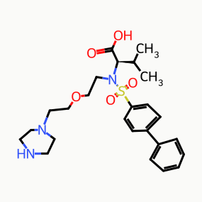 CC(C)[C@H](C(=O)O)N(CCOCCN1CCNCC1)S(=O)(=O)c1ccc(-c2ccccc2)cc1